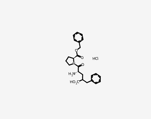 Cl.N[C@@H](CC(Cc1ccccc1)C(=O)O)C(=O)N1CCC[C@H]1C(=O)OCc1ccccc1